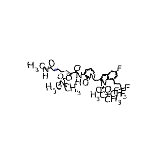 CNC(=O)/C=C/CC[C@H](OC(=O)N(C)C)C(=O)Nc1cccn(Cc2cc3cc(F)cc(CCC(F)(F)F)c3n2C(=O)OC(C)(C)C)c1=O